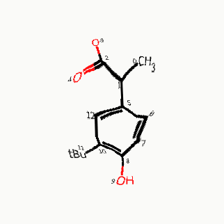 CC(C([O])=O)c1ccc(O)c(C(C)(C)C)c1